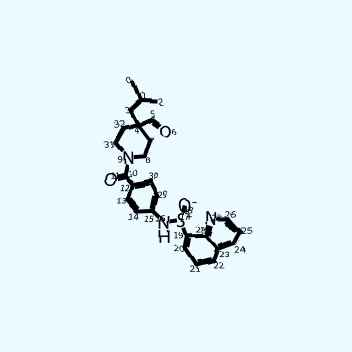 CC(C)CC1(C=O)CCN(C(=O)c2ccc(N[S+]([O-])c3cccc4cccnc34)cc2)CC1